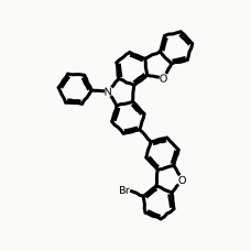 Brc1cccc2oc3ccc(-c4ccc5c(c4)c4c6oc7ccccc7c6ccc4n5-c4ccccc4)cc3c12